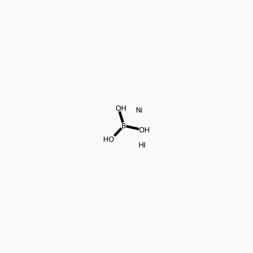 I.OB(O)O.[Ni]